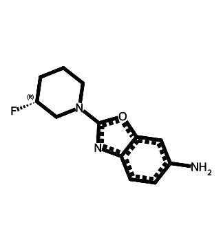 Nc1ccc2nc(N3CCC[C@@H](F)C3)oc2c1